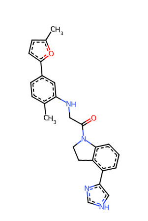 Cc1ccc(-c2ccc(C)c(NCC(=O)N3CCc4c(-c5c[nH]cn5)cccc43)c2)o1